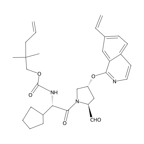 C=CCC(C)(C)COC(=O)N[C@H](C(=O)N1C[C@H](Oc2nccc3ccc(C=C)cc23)C[C@H]1C=O)C1CCCC1